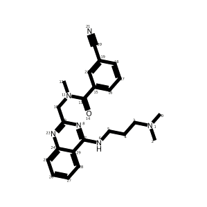 CN(C)CCCNc1nc(CN(C)C(=O)c2cccc(C#N)c2)nc2ccccc12